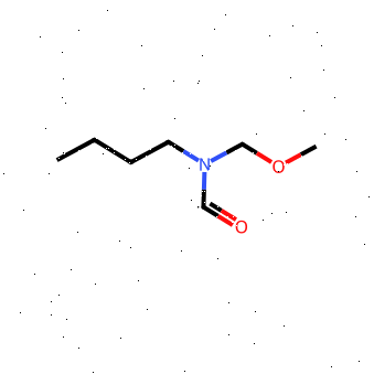 CCCCN([C]=O)COC